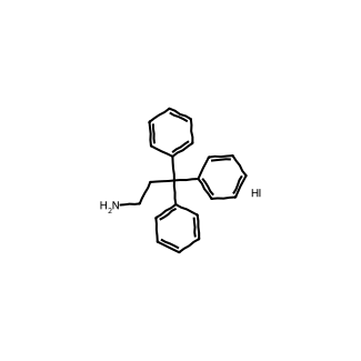 I.NCCC(c1ccccc1)(c1ccccc1)c1ccccc1